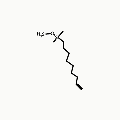 C=CCCCCCCC[Si](C)(C)O[SiH3]